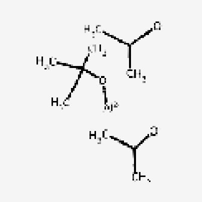 CC(C)(C)[O][Al+2].CC(C)[O-].CC(C)[O-]